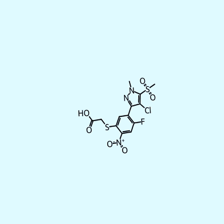 Cn1nc(-c2cc(SCC(=O)O)c([N+](=O)[O-])cc2F)c(Cl)c1S(C)(=O)=O